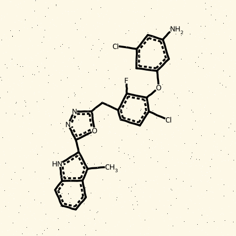 Cc1c(-c2nnc(Cc3ccc(Cl)c(Oc4cc(N)cc(Cl)c4)c3F)o2)[nH]c2ccccc12